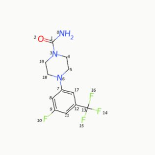 NC(=O)N1CCN(c2cc(F)cc(C(F)(F)F)c2)CC1